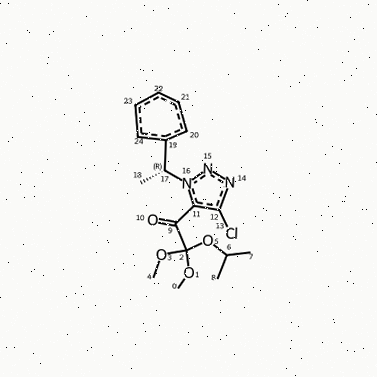 COC(OC)(OC(C)C)C(=O)c1c(Cl)nnn1[C@H](C)c1ccccc1